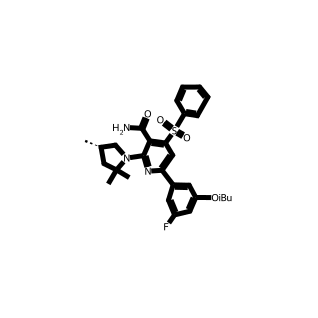 CC(C)COc1cc(F)cc(-c2cc(S(=O)(=O)c3ccccc3)c(C(N)=O)c(N3C[C@@H](C)CC3(C)C)n2)c1